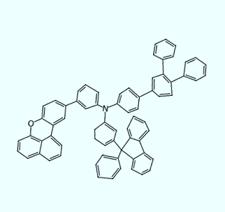 C1=C(N(c2ccc(-c3ccc(-c4ccccc4)c(-c4ccccc4)c3)cc2)c2cccc(-c3ccc4c(c3)-c3cccc5cccc(c35)O4)c2)CCC=C1C1(c2ccccc2)c2ccccc2-c2ccccc21